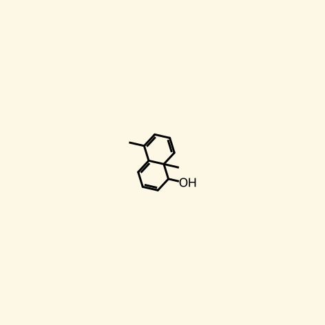 CC1=CC=CC2(C)C1=CC=CC2O